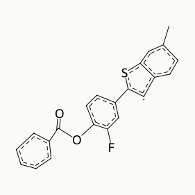 Cc1ccc2[c]c(-c3ccc(OC(=O)c4ccccc4)c(F)c3)sc2c1